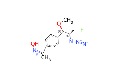 CO[C@H](c1ccc(/C(C)=N\O)cc1)[C@@H](CF)N=[N+]=[N-]